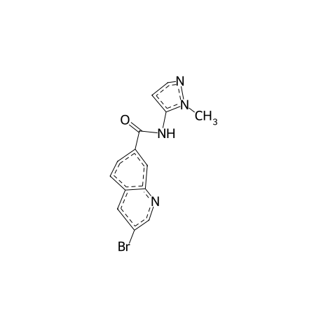 Cn1nccc1NC(=O)c1ccc2cc(Br)cnc2c1